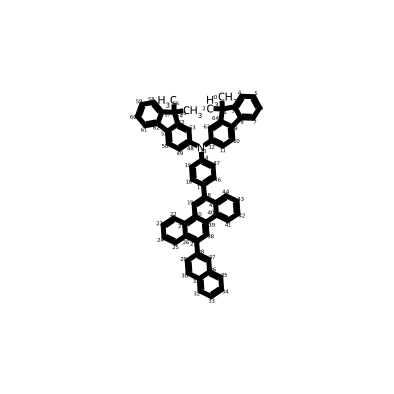 CC1(C)c2ccccc2-c2ccc(N(c3ccc(-c4cc5c6ccccc6c(-c6ccc7ccccc7c6)cc5c5ccccc45)cc3)c3ccc4c(c3)C(C)(C)c3ccccc3-4)cc21